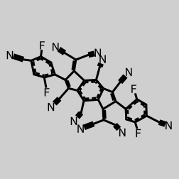 N#CC(C#N)=C1C(c2cc(F)c(C#N)cc2F)=C(C#N)c2c(C#N)c3c(c(C#N)c21)C(C#N)=C(c1cc(F)c(C#N)cc1F)C3=C(C#N)C#N